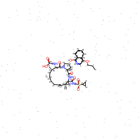 CCCOc1cnc(O[C@@H]2C[C@H]3C(=O)N[C@]4(C(=O)NS(=O)(=O)C5CC5)C[C@H]4C=CCC[C@H](C)C[C@@H](C)[C@H](NC(=O)O)C(=O)N3C2)c2ccccc12